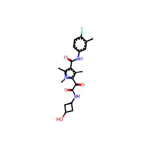 Cc1cc(NC(=O)c2c(C)c(C(=O)C(=O)NC3CC(O)C3)n(C)c2C)ccc1F